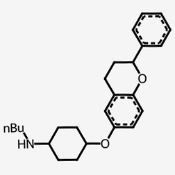 CCCCNC1CCC(Oc2ccc3c(c2)CCC(c2ccccc2)O3)CC1